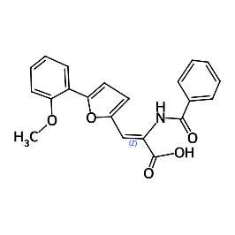 COc1ccccc1-c1ccc(/C=C(\NC(=O)c2ccccc2)C(=O)O)o1